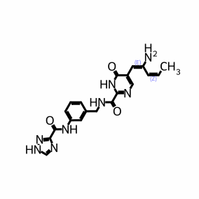 C/C=C\C(N)=C/c1cnc(C(=O)NCc2cccc(NC(=O)c3nc[nH]n3)c2)[nH]c1=O